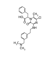 Cc1c(Cl)nc(NCCc2cccc(CN(C)C)c2)c(=O)n1C(Cc1ccccc1)C(=O)O